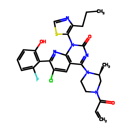 C=CC(=O)N1CCN(c2nc(=O)n(-c3scnc3CCC)c3nc(-c4c(O)cccc4F)c(Cl)cc23)[C@@H](C)C1